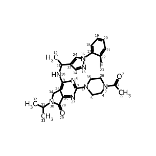 CC(=O)N1CCN(c2nc(NC(C)c3cnn(-c4ccccc4F)c3)c3c(n2)C(=O)N(C(C)C)C3)CC1